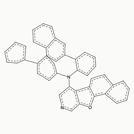 c1ccc(-c2ccc(N(c3ccccc3-c3ccc4ccccc4c3)c3cncc4oc5c6ccccc6ccc5c34)cc2)cc1